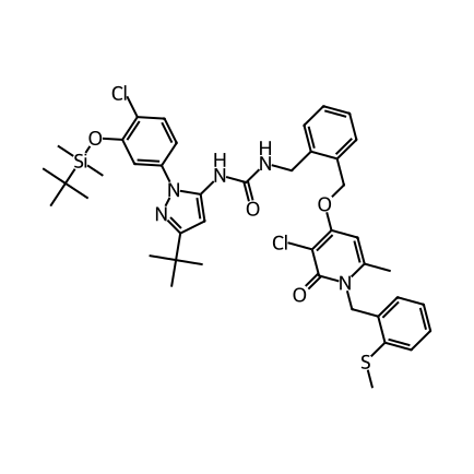 CSc1ccccc1Cn1c(C)cc(OCc2ccccc2CNC(=O)Nc2cc(C(C)(C)C)nn2-c2ccc(Cl)c(O[Si](C)(C)C(C)(C)C)c2)c(Cl)c1=O